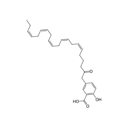 CC/C=C\C/C=C\C/C=C\C/C=C\C/C=C\CCCC(=O)Cc1ccc(O)c(C(=O)O)c1